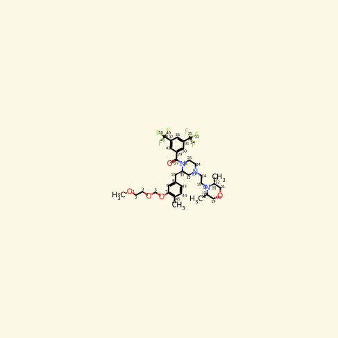 COCCOCOc1cc(C[C@@H]2CN(CCN3[C@H](C)COC[C@@H]3C)CCN2C(=O)c2cc(C(F)(F)F)cc(C(F)(F)F)c2)ccc1C